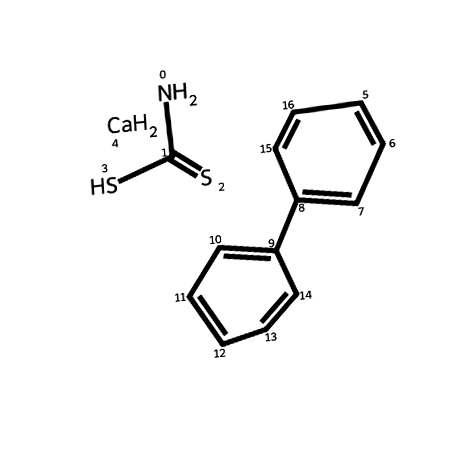 NC(=S)S.[CaH2].c1ccc(-c2ccccc2)cc1